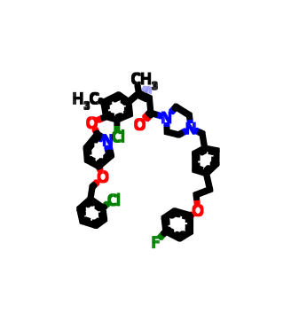 C/C(=C/C(=O)N1CCN(Cc2ccc(CCOc3ccc(F)cc3)cc2)CC1)c1cc(C)c(Oc2ccc(OCc3ccccc3Cl)cn2)c(Cl)c1